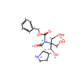 O=C(OCc1ccccc1)N(C(=O)[C@@H]1CCCN1)C(CO)(CO)CO